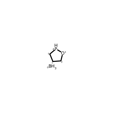 B.C1COPC1